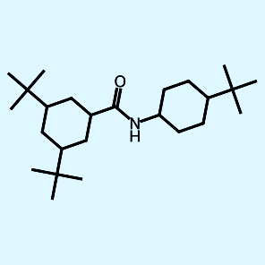 CC(C)(C)C1CCC(NC(=O)C2CC(C(C)(C)C)CC(C(C)(C)C)C2)CC1